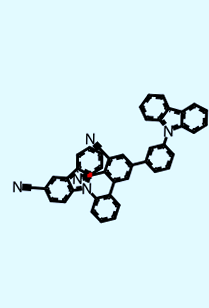 N#Cc1ccc2c(c1)c1ccccc1n2-c1ccccc1-c1cc(-c2cccc(-n3c4ccccc4c4ccccc43)c2)cc(C#N)c1C#N